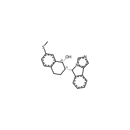 CSc1ccc2c(c1)[C@H](O)[C@H](C1c3ccccc3-c3cncn31)CC2